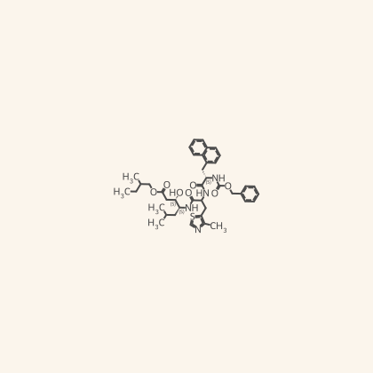 CCC(C)COC(=O)C[C@H](O)[C@H](CC(C)C)NC(=O)C(Cc1scnc1C)NC(=O)[C@H](Cc1cccc2ccccc12)NC(=O)OCc1ccccc1